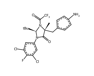 CC(C)(C)[C@@H]1N(c2cc(Cl)c(F)c(Cl)c2)C(=O)[C@@](C)(Cc2ccc(N)cc2)N1C(=O)C(F)(F)F